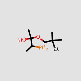 CCC(C)(C)COC(C)(O)C(C)P